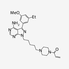 C=CC(=O)N1CCN(CCCCCn2nc(-c3cc(CC)cc(OC)c3)c3c(N)ncnc32)CC1